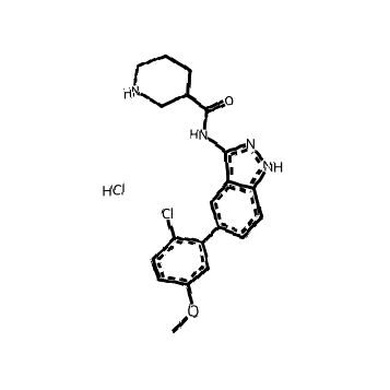 COc1ccc(Cl)c(-c2ccc3[nH]nc(NC(=O)C4CCCNC4)c3c2)c1.Cl